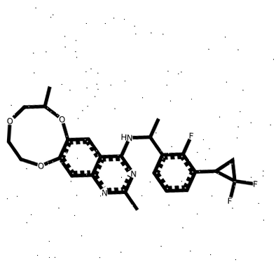 Cc1nc(NC(C)c2cccc(C3CC3(F)F)c2F)c2cc3c(cc2n1)OCCOCC(C)O3